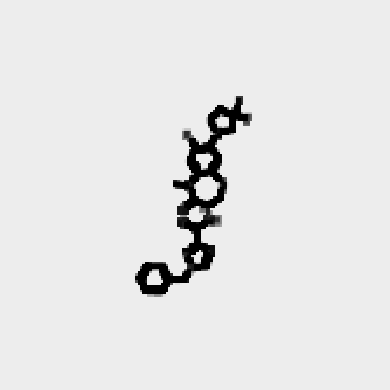 CN1C(=O)[C@@H](NC(=O)c2ncn(Cc3ccccc3)n2)CSc2cc(N3CCC(F)(F)C3)c(F)cc21